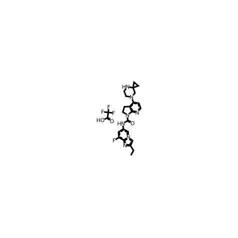 CCc1cn2cc(NC(=O)N3CCc4c(N5CCNC6(CC6)C5)ccnc43)cc(F)c2n1.O=C(O)C(F)(F)F